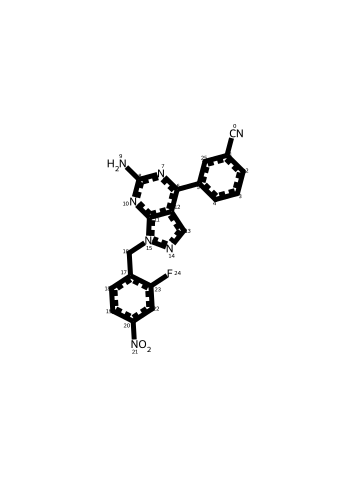 N#Cc1cccc(-c2nc(N)nc3c2cnn3Cc2ccc([N+](=O)[O-])cc2F)c1